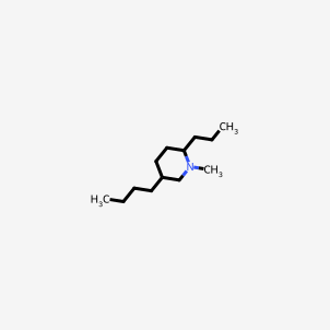 CCCCC1CCC(CCC)N(C)C1